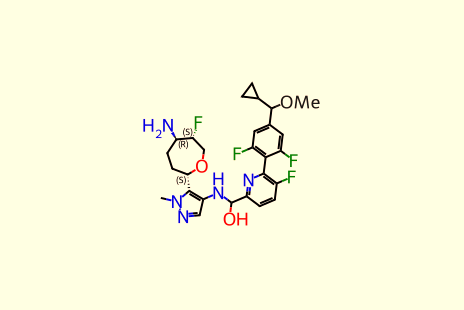 COC(c1cc(F)c(-c2nc(C(O)Nc3cnn(C)c3[C@@H]3CC[C@@H](N)[C@H](F)CO3)ccc2F)c(F)c1)C1CC1